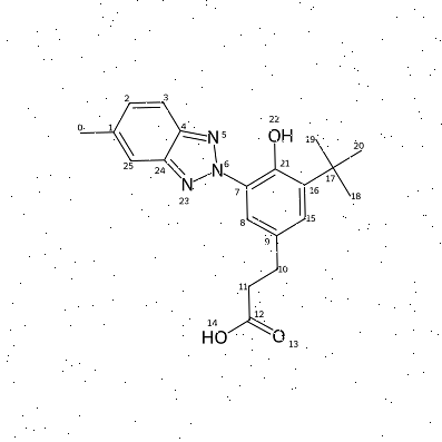 Cc1ccc2nn(-c3cc(CCC(=O)O)cc(C(C)(C)C)c3O)nc2c1